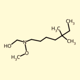 CCC(C)(C)CCCCN(CO)OC